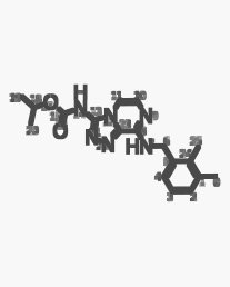 Cc1cccc(CNc2nccn3c(NC(=O)OC(C)C)nnc23)c1C